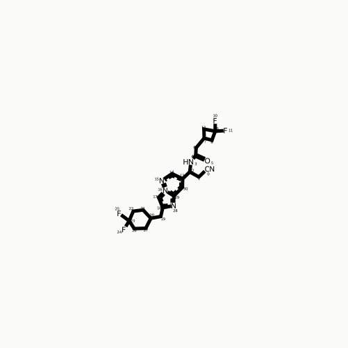 N#CCC(NC(=O)CC1CC(F)(F)C1)c1cnn2cc(CC3CCC(F)(F)CC3)nc2c1